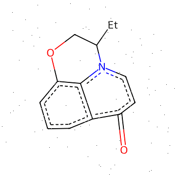 CCC1COc2cccc3c(=O)ccn1c23